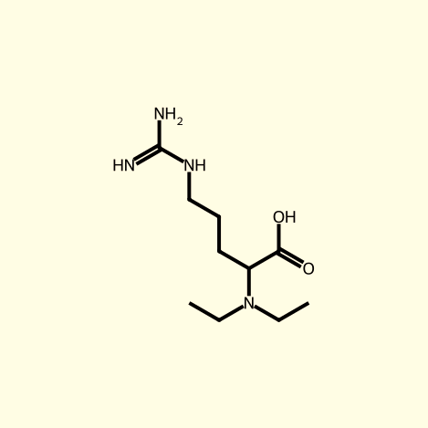 CCN(CC)C(CCCNC(=N)N)C(=O)O